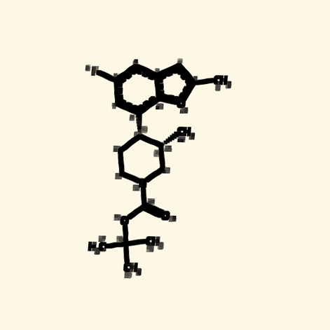 Cc1cc2cc(F)cc([C@H]3CCN(C(=O)OC(C)(C)C)C[C@H]3C)c2o1